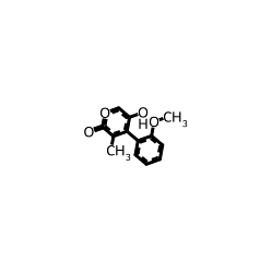 COc1ccccc1-c1c(O)coc(=O)c1C